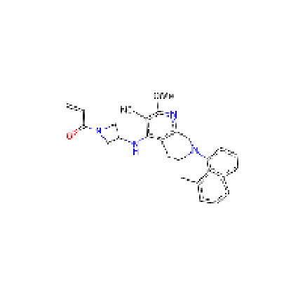 C=CC(=O)N1CC(Nc2c(C#N)c(OC)nc3c2CCN(c2cccc4cccc(C)c24)C3)C1